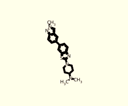 CN(C)C1CCN(c2nc3ccc(-c4ccc5nn(C)cc5c4)cc3s2)CC1